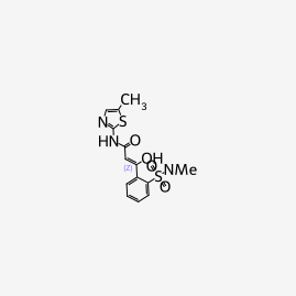 CNS(=O)(=O)c1ccccc1/C(O)=C/C(=O)Nc1ncc(C)s1